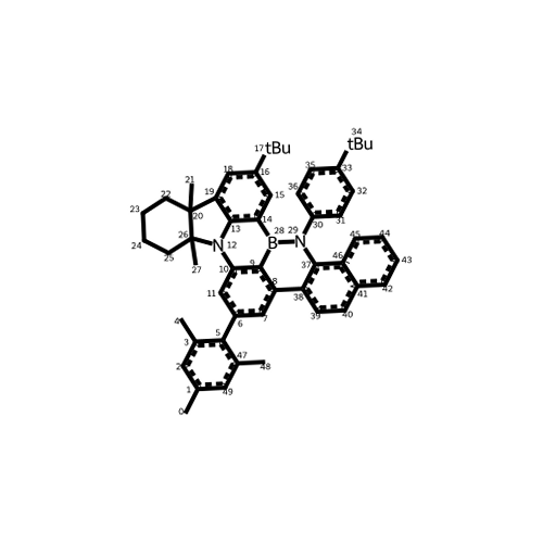 Cc1cc(C)c(-c2cc3c4c(c2)N2c5c(cc(C(C)(C)C)cc5C5(C)CCCCC25C)B4N(c2ccc(C(C)(C)C)cc2)c2c-3ccc3ccccc23)c(C)c1